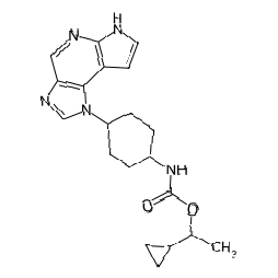 CC(OC(=O)NC1CCC(n2cnc3cnc4[nH]ccc4c32)CC1)C1CC1